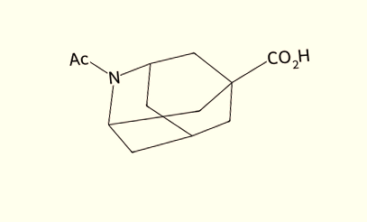 CC(=O)N1C2CC3CC1CC(C(=O)O)(C3)C2